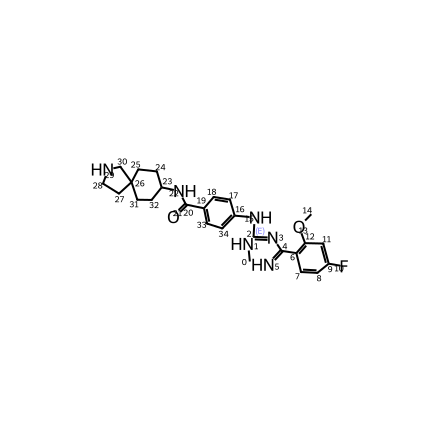 CN/C(=N\C(=N)c1ccc(F)cc1OC)Nc1ccc(C(=O)NC2CCC3(CCNC3)CC2)cc1